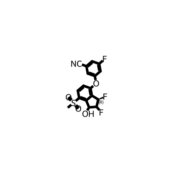 CS(=O)(=O)c1ccc(Oc2cc(F)cc(C#N)c2)c2c1C(O)C(F)[C@@H]2F